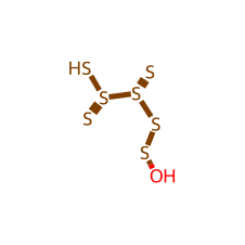 OSSS(=S)S(=S)S